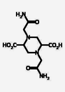 NC(=O)CN1CC(C(=O)O)N(CC(N)=O)CC1C(=O)O